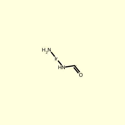 [NH2][Ir][NH][C]=O